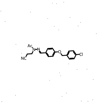 CC(=O)N(CCC#N)N=Cc1ccc(OCc2ccc(Cl)cc2)cc1